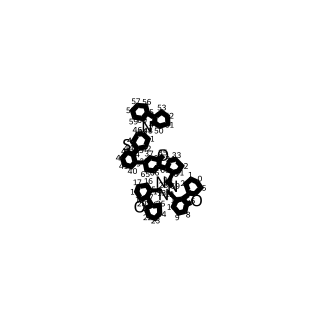 c1ccc2c(c1)oc1cccc(-c3nc(-c4cccc5oc6ccccc6c45)nc(-c4cccc5oc6cc(-c7cccc8sc9cc(-n%10c%11ccccc%11c%11ccccc%11%10)ccc9c78)ccc6c45)n3)c12